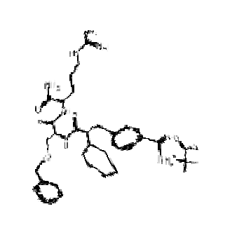 N=C(N)NCCCC(NC(=O)[C@H](COCc1ccccc1)NC(=O)[C@@H](Cc1ccc(C(=N)N)cc1)C1CCCCC1)C(N)=O.O=C(O)C(F)(F)F